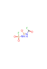 O=C(F)N[S+]([O-])NS(=O)(=O)F